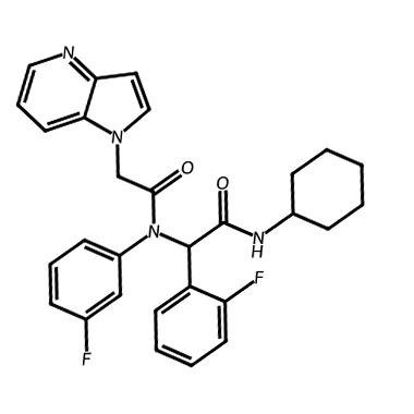 O=C(NC1CCCCC1)C(c1ccccc1F)N(C(=O)Cn1ccc2ncccc21)c1cccc(F)c1